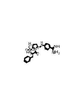 CS(=O)(=O)N[C@H](Cc1ccccc1)C(=O)N1CCC[C@H]1CNc1ccc(C(=N)N)cc1